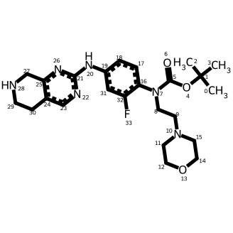 CC(C)(C)OC(=O)N(CCN1CCOCC1)c1ccc(Nc2ncc3c(n2)CNCC3)cc1F